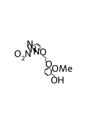 COc1c(CO)cccc1OCCCOc1ccc2ncc([N+](=O)[O-])n2n1